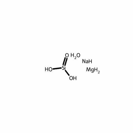 O.O=[Si](O)O.[MgH2].[NaH]